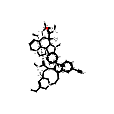 CCC1=C[C@@H]2CN(CCc3c([nH]c4ccc(C#N)cc34)[C@@](C(=O)OC)(c3cc4c(cc3OC)N(C)C3C(O)(C(=O)OC)[C@H](OC(C)=O)[C@]5(CC)C=CCN6CC[C@]43[C@@H]65)C2)C1